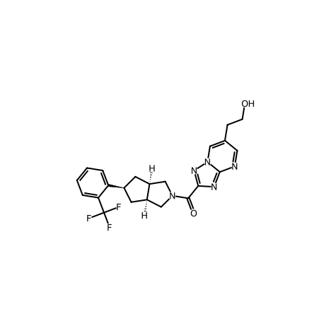 O=C(c1nc2ncc(CCO)cn2n1)N1C[C@H]2C[C@@H](c3ccccc3C(F)(F)F)C[C@H]2C1